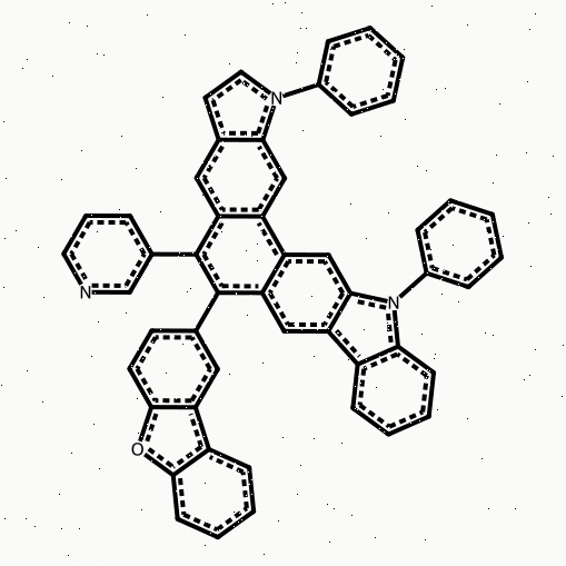 c1ccc(-n2ccc3cc4c(-c5cccnc5)c(-c5ccc6oc7ccccc7c6c5)c5cc6c7ccccc7n(-c7ccccc7)c6cc5c4cc32)cc1